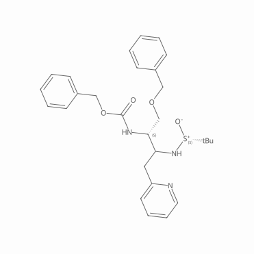 CC(C)(C)[S@@+]([O-])NC(Cc1ccccn1)[C@@H](COCc1ccccc1)NC(=O)OCc1ccccc1